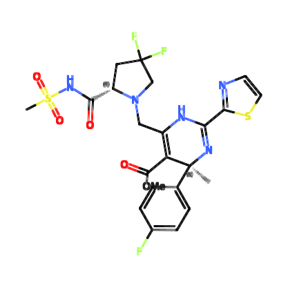 COC(=O)C1=C(CN2CC(F)(F)C[C@H]2C(=O)NS(C)(=O)=O)NC(c2nccs2)=N[C@@]1(C)c1ccc(F)cc1